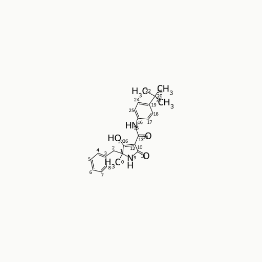 CC1(Cc2ccccc2)NC(=O)C(C(=O)Nc2ccc(C(C)(C)C)cc2)=C1O